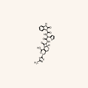 Cc1nnc(SCC2=C(C(=O)O)N3C(=O)C(NC(=O)C(NC(=O)n4c(=O)[nH]c5ccccc54)c4cccs4)[C@@H]3SC2)s1